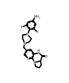 Nc1cc(F)c(N2CCN(Cc3cnc4c(c3)NC(=O)C3CCCN43)CC2)c(F)c1